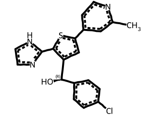 Cc1cc(-c2cc([C@H](O)c3ccc(Cl)cc3)c(-c3ncc[nH]3)s2)ccn1